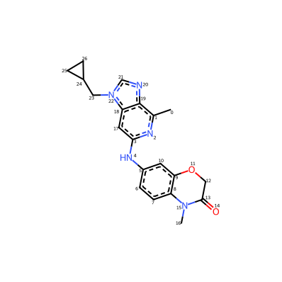 Cc1nc(Nc2ccc3c(c2)OCC(=O)N3C)cc2c1ncn2CC1CC1